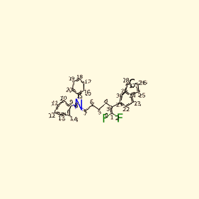 FC(F)=C(CCCCN(c1ccccc1)c1ccccc1)c1ccc2ccccc2c1